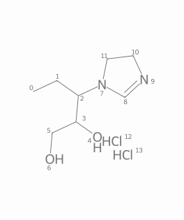 CCC(C(O)CO)N1C=NCC1.Cl.Cl